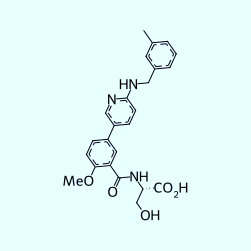 COc1ccc(-c2ccc(NCc3cccc(C)c3)nc2)cc1C(=O)N[C@@H](CO)C(=O)O